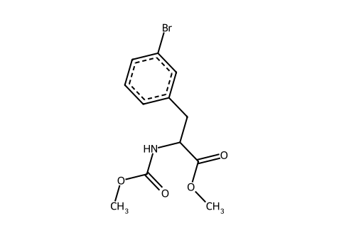 COC(=O)NC(Cc1cccc(Br)c1)C(=O)OC